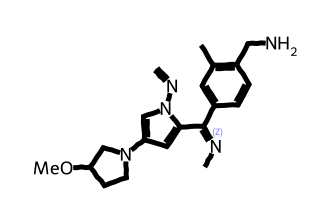 C=Nn1cc(N2CCC(OC)C2)cc1/C(=N\C)c1ccc(CN)c(C)c1